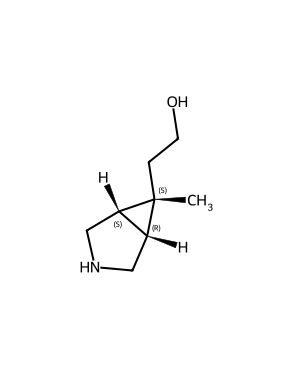 C[C@@]1(CCO)[C@@H]2CNC[C@@H]21